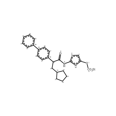 CCOC(=O)Oc1csc(NC(=O)C(CC2CCCC2)c2ccc(-c3ccccc3)cc2)n1